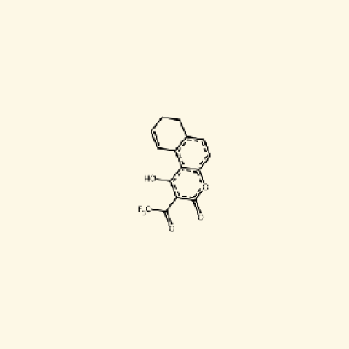 O=C(c1c(O)c2c3c(ccc2oc1=O)CCC=C3)C(F)(F)F